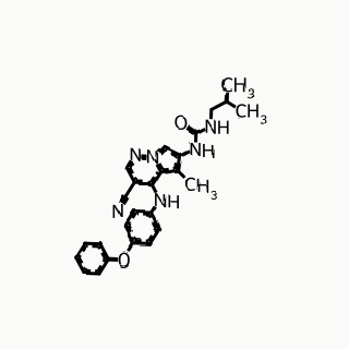 Cc1c(NC(=O)NCC(C)C)cn2ncc(C#N)c(Nc3ccc(Oc4ccccc4)cc3)c12